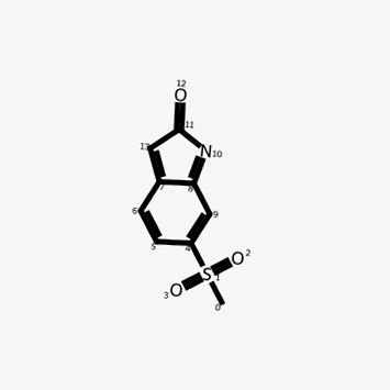 CS(=O)(=O)c1ccc2c(c1)=NC(=O)C=2